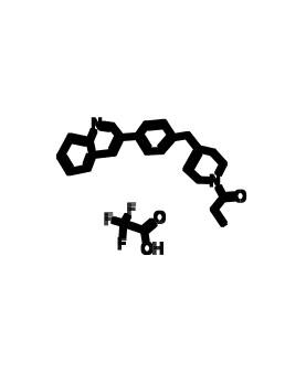 CCC(=O)N1CC=C(Cc2ccc(-c3cnc4ccccc4c3)cc2)CC1.O=C(O)C(F)(F)F